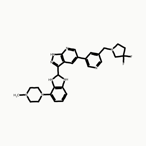 CN1CCN(c2cccc3c2NC(c2n[nH]c4ncc(-c5cncc(CN6CCC(F)(F)C6)c5)cc24)N3)CC1